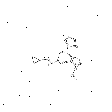 Cn1ncc2c(-c3cnco3)cc(NSC3CC3)cc21